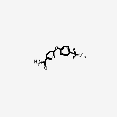 NC(=O)c1ccc(Oc2ccc(C(F)(F)C(F)(F)F)cc2)nc1